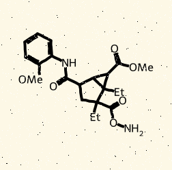 CCC1(C(=O)ON)CC(C(=O)Nc2ccccc2OC)C2C(C(=O)OC)C21CC